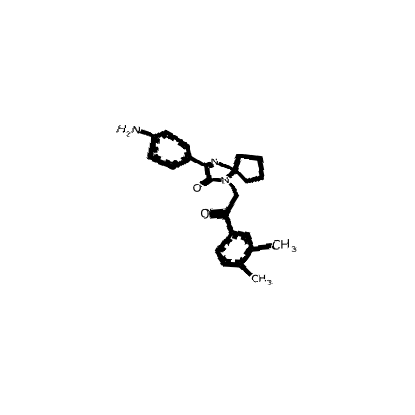 Cc1ccc(C(=O)CN2C(=O)C(c3ccc(N)cc3)=NC23CCCC3)cc1C